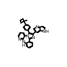 CC1(c2ccc(-c3c(-c4cnc5cc[nH]c5c4)nc4n3-c3cccnc3Nc3ccccc3-4)cc2)CCC1